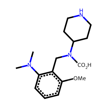 COc1cccc(N(C)C)c1CN(C(=O)O)C1CCNCC1